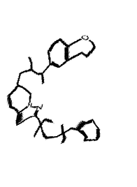 CC(CC1CCc2cc(C(C)(C)CC(C)(C)c3ccccc3)nn2C1)C(C)c1ccc2c(c1)CCO2